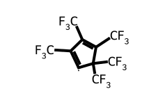 FC(F)(F)C1=[C]C(C(F)(F)F)(C(F)(F)F)C(C(F)(F)F)=C1C(F)(F)F